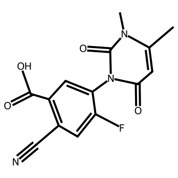 Cc1cc(=O)n(-c2cc(C(=O)O)c(C#N)cc2F)c(=O)n1C